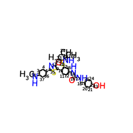 CNc1ccc(-c2ncc(-c3ccc(NC(=O)NCc4ccc(O)cc4)cc3[S+]([O-])NC(C)(C)C)s2)cc1